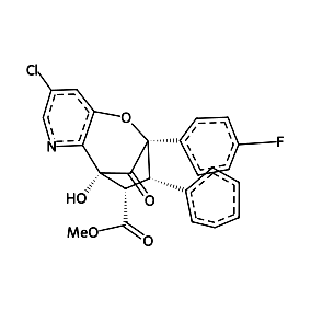 COC(=O)[C@H]1[C@@H](c2ccccc2)[C@]2(c3ccc(F)cc3)Oc3cc(Cl)cnc3[C@@]1(O)C2=O